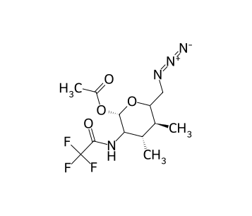 CC(=O)O[C@@H]1OC(CN=[N+]=[N-])[C@@H](C)[C@H](C)C1NC(=O)C(F)(F)F